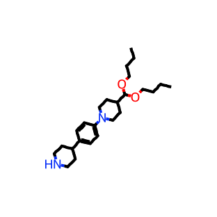 CCCCOC(OCCCC)C1CCN(c2ccc(C3CCNCC3)cc2)CC1